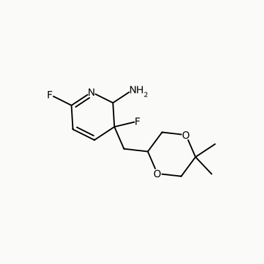 CC1(C)COC(CC2(F)C=CC(F)=NC2N)CO1